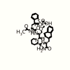 CC(=O)N[C@@H](Cc1csc2ccccc12)C(=O)N[C@@H](COCP(=O)(O)O)C(=O)N1CCCC[C@H]1C(=O)N[C@@H](Cc1ccc2ccccc2c1)C(N)=O